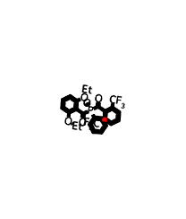 CCOc1cccc(OCC)c1C(=O)P(=O)(C(=O)c1c(C(F)(F)F)cccc1C(F)(F)F)c1ccccc1